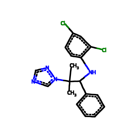 CC(C)(C(Nc1ccc(Cl)cc1Cl)c1ccccc1)n1cncn1